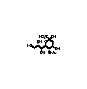 CC(=O)N[C@@H]1[C@@H]([C@@H](O)[C@@H](O)CO)O[C@](O)(C(=O)O)C[C@H]1O